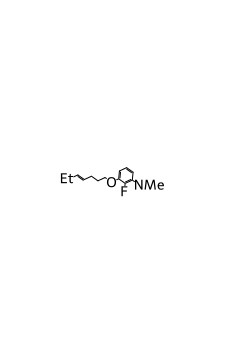 CC/C=C/CCCOc1cccc(NC)c1F